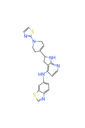 C1=C(C2Cc3c(Nc4ccc5ncsc5c4)ccnc3N2)CCN(c2nccs2)C1